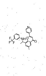 Cc1cc(C(C)Nc2cccc(C(F)(F)F)c2)c2oc(-c3ccncc3)cc(=O)c2c1